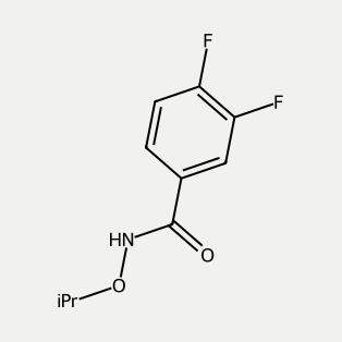 CC(C)ONC(=O)c1ccc(F)c(F)c1